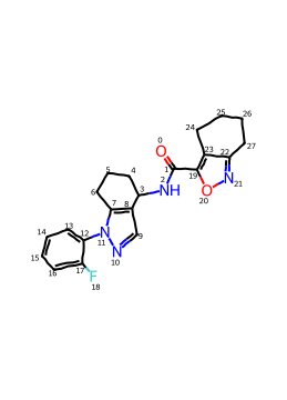 O=C(NC1CCCc2c1cnn2-c1ccccc1F)c1onc2c1CCCC2